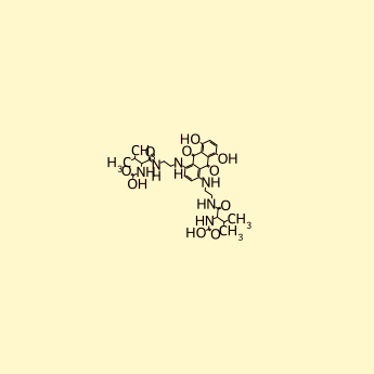 CC(C)C(NC(=O)O)C(=O)NCCNc1ccc(NCCNC(=O)C(NC(=O)O)C(C)C)c2c1C(=O)c1c(O)ccc(O)c1C2=O